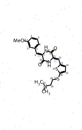 COc1cccc(/C=c2\[nH]c(=O)/c(=C/c3ccc(SCCN(C)C)s3)[nH]c2=O)c1